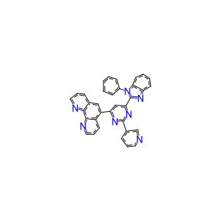 c1ccc(-n2c(-c3cc(-c4cc5cccnc5c5ncccc45)nc(-c4cccnc4)n3)nc3ccccc32)cc1